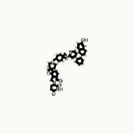 O=C1CC[C@H](N2Cc3c(ccc4c3OCC43CCN(CC4CCC5(CC4)CN(c4ccc([C@@H]6c7ccc(O)cc7CC[C@@H]6c6ccccc6)cn4)C5)CC3)C2=O)C(=O)N1